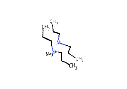 CCC[N-]CCC.CCC[N-]CCC.[Mg+2]